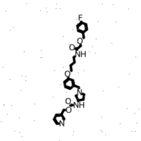 O=C(COCc1ccc(F)cc1)NCCCCOc1cccc(CN2CCC(NC(=O)OCc3cccnc3)C2)c1